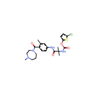 Cc1cc(NC(=O)C(C)(C)NC(=O)Oc2ccc(Cl)s2)ccc1C(=O)N1CCCN(C)CC1